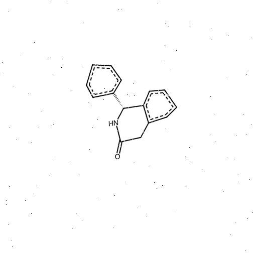 O=C1Cc2ccccc2[C@@H](c2ccccc2)N1